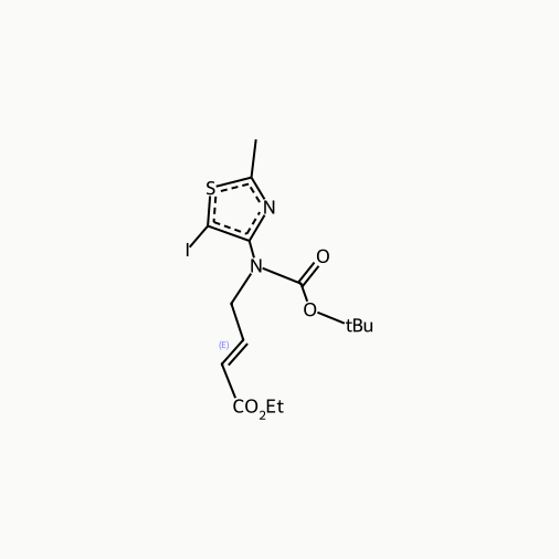 CCOC(=O)/C=C/CN(C(=O)OC(C)(C)C)c1nc(C)sc1I